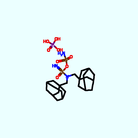 N=S(=O)(OS(N)(=O)=O)N(CC12CC3CC(CC(C3)C1)C2)CC12CC3CC(CC(C3)C1)C2.O=P(O)(O)O